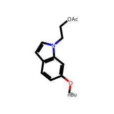 CCCCOc1ccc2ccn(CCOC(C)=O)c2c1